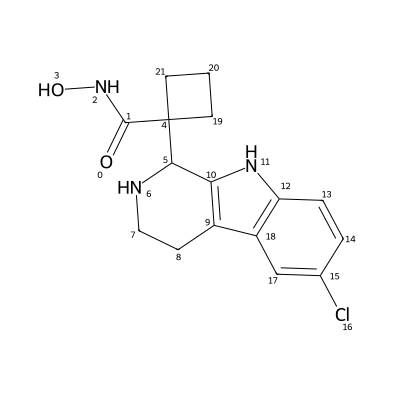 O=C(NO)C1(C2NCCc3c2[nH]c2ccc(Cl)cc32)CCC1